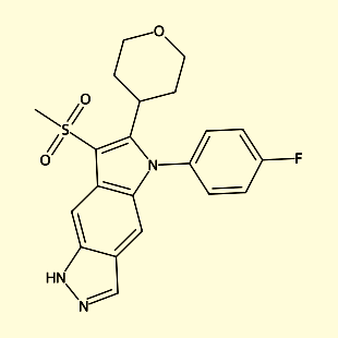 CS(=O)(=O)c1c(C2CCOCC2)n(-c2ccc(F)cc2)c2cc3cn[nH]c3cc12